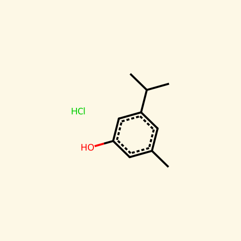 Cc1cc(O)cc(C(C)C)c1.Cl